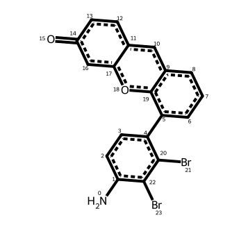 Nc1ccc(-c2cccc3cc4ccc(=O)cc-4oc23)c(Br)c1Br